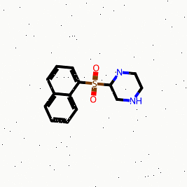 O=S(=O)(c1cccc2ccccc12)C1CNCC[N]1